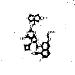 C#Cc1c(F)ccc2cc(OCOC)cc(C(=O)c3nc4nc(OC[C@@]56CCCN5C[C@H](F)C6)nc(O)c4n3C3CCC3)c12